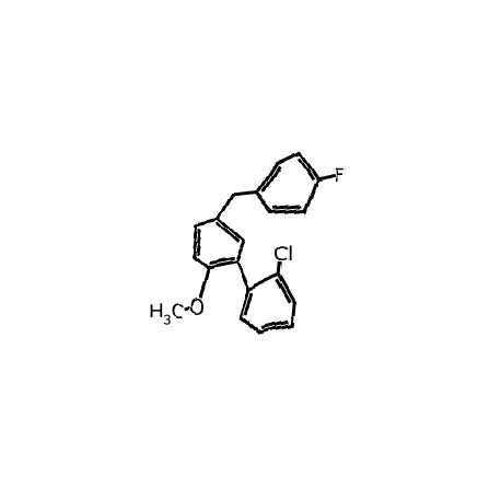 COc1ccc(Cc2ccc(F)cc2)cc1-c1ccccc1Cl